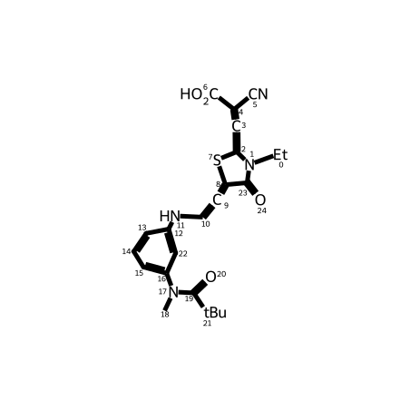 CCn1c(=C=C(C#N)C(=O)O)sc(=C=CNc2cccc(N(C)C(=O)C(C)(C)C)c2)c1=O